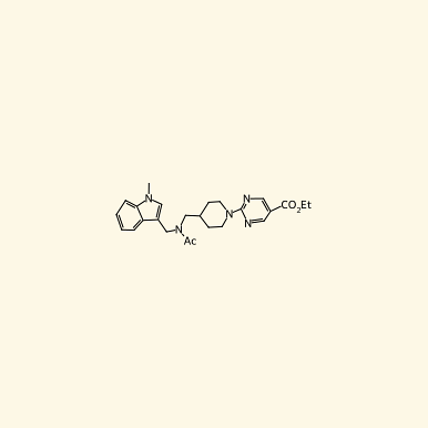 CCOC(=O)c1cnc(N2CCC(CN(Cc3cn(C)c4ccccc34)C(C)=O)CC2)nc1